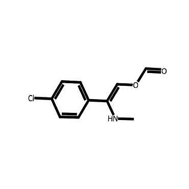 CN/C(=C\OC=O)c1ccc(Cl)cc1